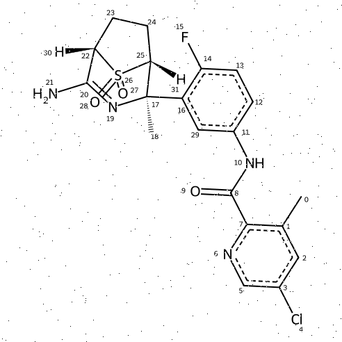 Cc1cc(Cl)cnc1C(=O)Nc1ccc(F)c([C@@]2(C)N=C(N)[C@@H]3CC[C@H]2S3(=O)=O)c1